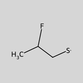 CC(F)C[S]